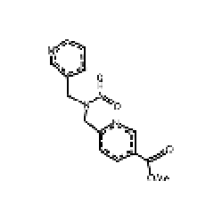 COC(=O)c1ccc(CN(Cc2cccnc2)[SH](=O)=O)nc1